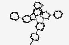 Fc1ccc(-c2ccc(-c3nc(-c4ccccc4)nc(-c4ccccc4)n3)c(-n3c4ccccc4c4cc(-c5ccccc5)ccc43)c2)cc1